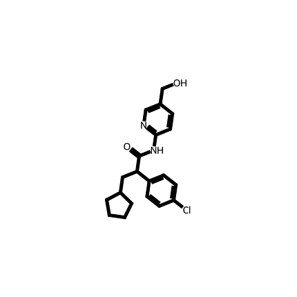 O=C(Nc1ccc(CO)cn1)C(CC1CCCC1)c1ccc(Cl)cc1